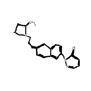 CC1CCCN1CCc1ccc2cc(-n3ncccc3=O)ccc2c1